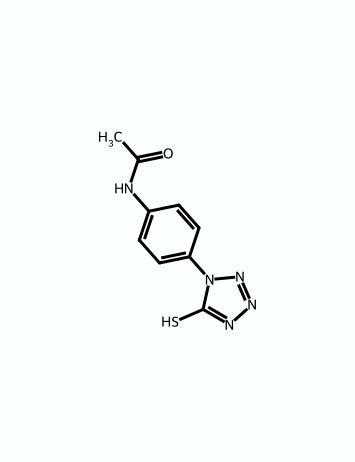 CC(=O)Nc1ccc(-n2nnnc2S)cc1